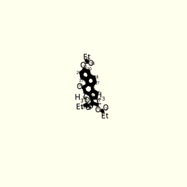 CCC(=O)OCC(=O)[C@]1(OC(=O)CC)[C@H](C)C=C2c3ccc4cc(OC(=O)CC)ccc4c3C(=O)C[C@@]21C